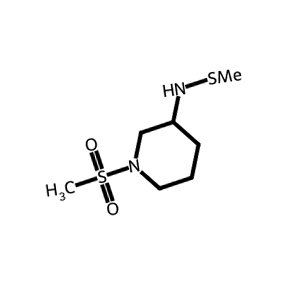 CSNC1CCCN(S(C)(=O)=O)C1